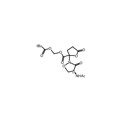 CC(=O)N[C@H]1CON(C2(C(=O)OCOC(=O)C(C)(C)C)CCC(=O)O2)C1=O